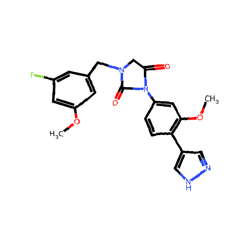 COc1cc(F)cc(CN2CC(=O)N(c3ccc(-c4cn[nH]c4)c(OC)c3)C2=O)c1